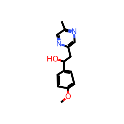 COc1ccc(C(O)Cc2cnc(C)cn2)cc1